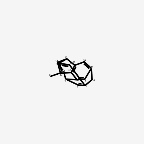 CN1C2=CC3=CC1c1cc(cc4c1C=CC24)C3